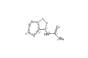 CC(C)(C)C(=O)NC1CCc2ccccc21